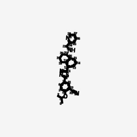 CC(C)Oc1ccc(-c2nnc(-c3cccc4c3CCC[C@@H]4NCc3ccccn3)s2)cc1C#N